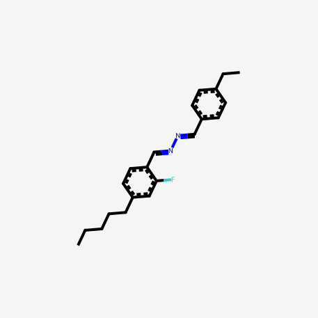 CCCCCc1ccc(C=NN=Cc2ccc(CC)cc2)c(F)c1